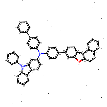 c1ccc(-c2ccc(N(c3ccc(-c4ccc5c(c4)oc4ccc6ccccc6c45)cc3)c3ccc4c5ccccc5n(-c5ccccc5)c4c3)cc2)cc1